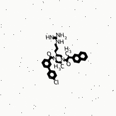 C[C@H](C(=O)N1C[C@H](CCCNC(=N)N)N(C(=O)c2cccc(-c3ccc(Cl)cc3)c2)C[C@H]1C)c1ccc2ccccc2c1